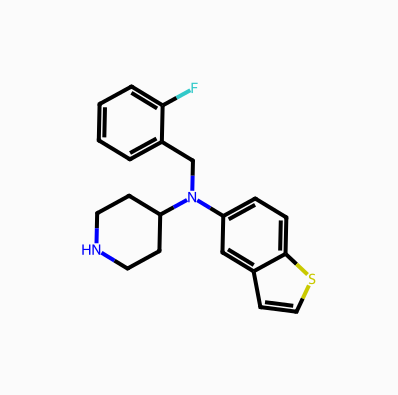 Fc1ccccc1CN(c1ccc2sccc2c1)C1CCNCC1